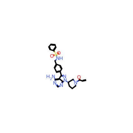 C=CC(=O)N1CCC[C@@H](n2nc(-c3ccc(CNS(=O)(=O)c4ccccc4)cc3)c3c(N)ncnc32)C1